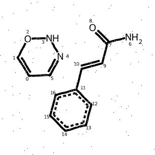 C1=CONN=C1.NC(=O)C=Cc1ccccc1